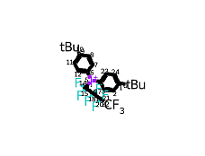 CC(C)(C)c1ccc([I+](c2ccc(C(C)(C)C)cc2)C(F)(F)C(F)(F)C(F)(F)C(F)(F)F)cc1